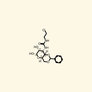 O=C(NCCCl)N[C@H]1[C@@H](O)[C@@H](O)O[C@@H]2COC(c3ccccc3)O[C@@H]12